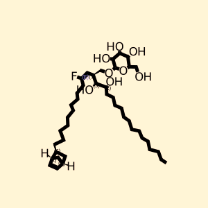 CCCCCCCCCCCCCC[C@@H](O)[C@@H](O)[C@@H](/C=C(/F)CCCCCCCCCC[C@H]1C[C@H]2C=C[C@@H]1C2)COC1OC(CO)C(O)C(O)C1O